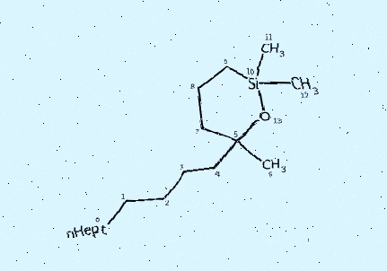 CCCCCCCCCCCC1(C)CCC[Si](C)(C)O1